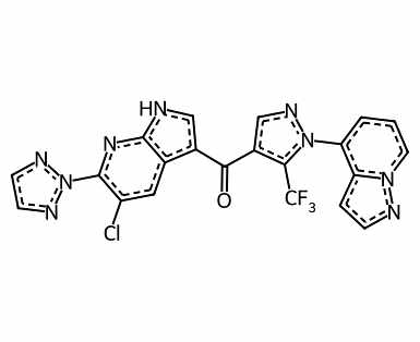 O=C(c1cnn(-c2cccn3nccc23)c1C(F)(F)F)c1c[nH]c2nc(-n3nccn3)c(Cl)cc12